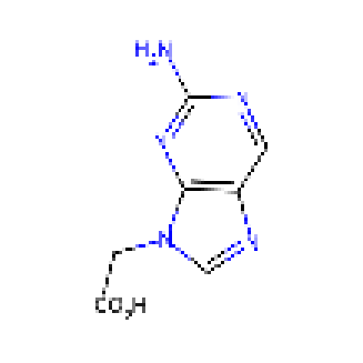 Nc1ncc2ncn(CC(=O)O)c2n1